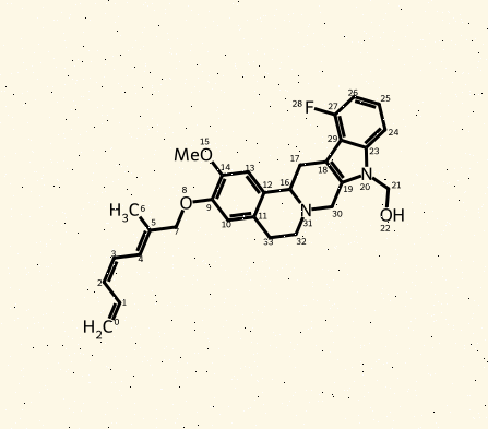 C=C/C=C\C=C(/C)COc1cc2c(cc1OC)C1Cc3c(n(CO)c4cccc(F)c34)CN1CC2